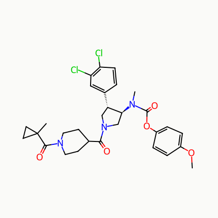 COc1ccc(OC(=O)N(C)[C@H]2CN(C(=O)C3CCN(C(=O)C4(C)CC4)CC3)C[C@@H]2c2ccc(Cl)c(Cl)c2)cc1